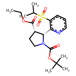 CCOC(=O)[C@H]1CCN(C(=O)OC(C)(C)C)[C@H]1c1ncccc1S(=O)(=O)C(C)C